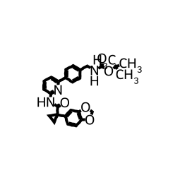 CC(C)(C)OC(=O)NCc1ccc(-c2cccc(NC(=O)C3(c4ccc5c(c4)OCO5)CC3)n2)cc1